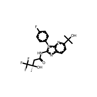 CC(C)(O)c1ccc2nc(NC(=O)C[C@@](C)(O)C(F)(F)F)n(-c3ccc(F)cc3)c2n1